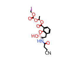 CC(OC(=O)OCI)OC(=O)c1cccc2c1OB(O)[C@@H](NC(=O)CCC#N)C2